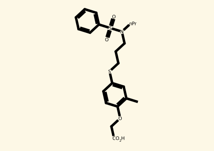 CCCN(CCCSc1ccc(OCC(=O)O)c(C)c1)S(=O)(=O)c1ccccc1